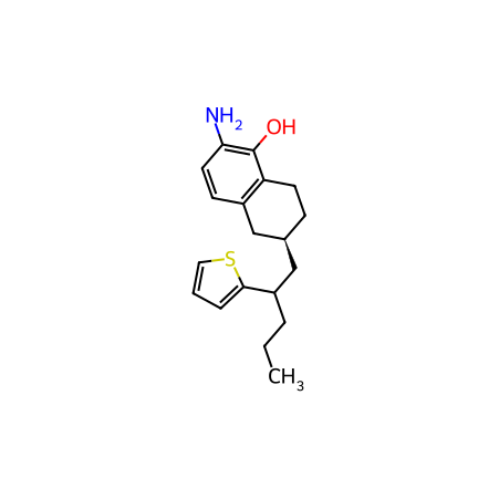 CCCC(C[C@@H]1CCc2c(ccc(N)c2O)C1)c1cccs1